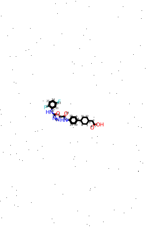 O=C(O)CC1CCC(c2ccc(NC(=O)c3nnc(Nc4cc(F)ccc4F)o3)cc2)CC1